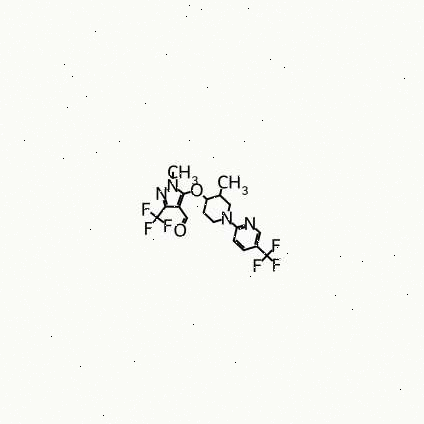 CC1CN(c2ccc(C(F)(F)F)cn2)CCC1Oc1c(C=O)c(C(F)(F)F)nn1C